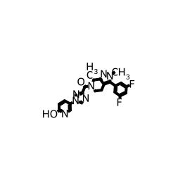 C[C@H]1c2nn(C)c(-c3cc(F)cc(F)c3)c2CCN1C(=O)c1ncn(-c2ccc(O)nc2)n1